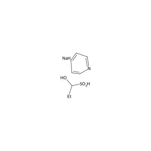 CCC(O)S(=O)(=O)O.[NaH].c1ccncc1